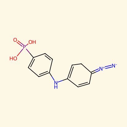 [N-]=[N+]=C1C=CC(Nc2ccc(P(=O)(O)O)cc2)=CC1